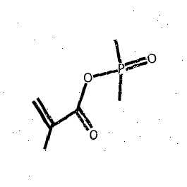 C=C(C)C(=O)OP(C)(C)=O